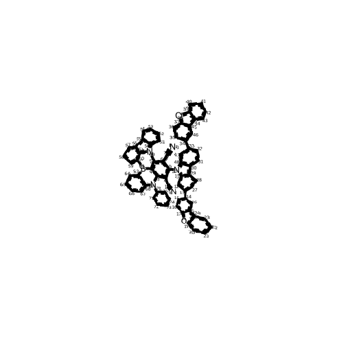 N#Cc1c2c3c(c(C#N)c1-n1c4cc(-c5ccc6oc7ccccc7c6c5)ccc4c4ccc(-c5ccc6oc7ccccc7c6c5)cc41)-n1c4ccccc4c4cccc(c41)B3c1ccccc1N2c1ccccc1